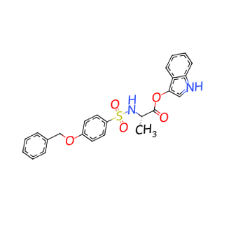 C[C@H](NS(=O)(=O)c1ccc(OCc2ccccc2)cc1)C(=O)Oc1c[nH]c2ccccc12